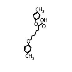 Cc1ccc(OCCCCCC(Oc2ccc(C)cc2)C(=O)O)cc1